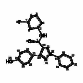 O=C(Nc1cccc(F)c1)c1cn(-c2ccccc2)nc1-c1ccc(O)cc1